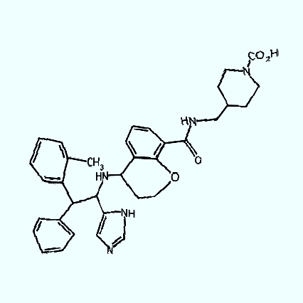 Cc1ccccc1C(c1ccccc1)C(NC1CCOc2c(C(=O)NCC3CCN(C(=O)O)CC3)cccc21)c1cnc[nH]1